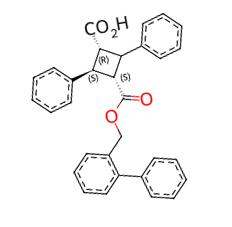 O=C(O)[C@@H]1C(c2ccccc2)[C@H](C(=O)OCc2ccccc2-c2ccccc2)[C@H]1c1ccccc1